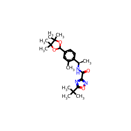 Cc1cc(C2OC(C)(C)C(C)(C)O2)ccc1[C@@H](C)NC(=O)c1noc(C(C)(C)C)n1